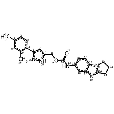 Cc1ccc(-c2cc(COC(=O)Nc3ccc4c(c3)nc3n4CCC3)[nH]n2)c(C)c1